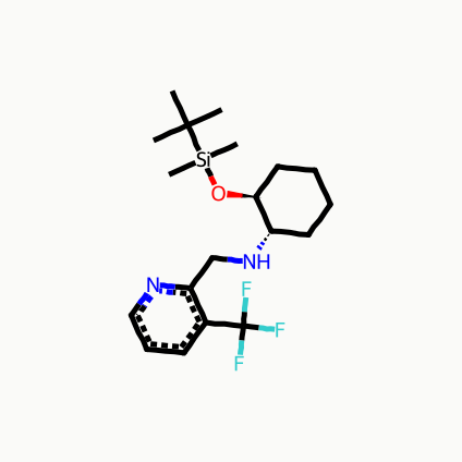 CC(C)(C)[Si](C)(C)O[C@H]1CCCC[C@@H]1NCc1ncccc1C(F)(F)F